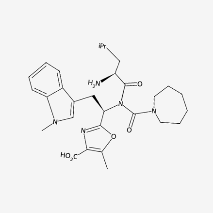 Cc1oc([C@@H](Cc2cn(C)c3ccccc23)N(C(=O)[C@@H](N)CC(C)C)C(=O)N2CCCCCC2)nc1C(=O)O